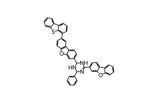 c1ccc(C2N=C(c3ccc4c(c3)oc3ccccc34)NC(c3ccc4c(c3)oc3ccc(-c5cccc6c5sc5ccccc56)cc34)N2)cc1